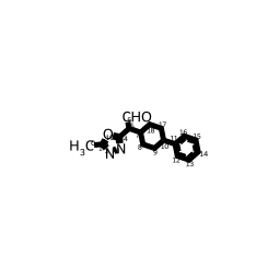 Cc1nnc(C(C=O)C2CCC(c3ccccc3)CC2)o1